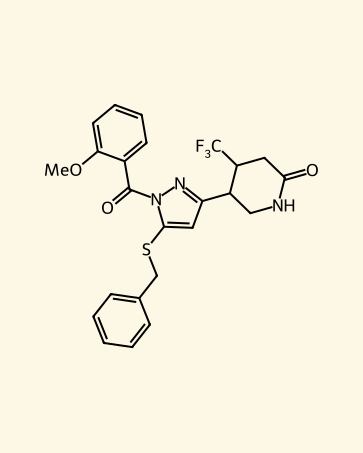 COc1ccccc1C(=O)n1nc(C2CNC(=O)CC2C(F)(F)F)cc1SCc1ccccc1